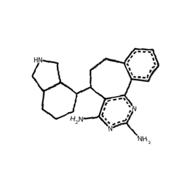 Nc1nc(N)c2c(n1)-c1ccccc1CCC2C1CCCC2CNCC21